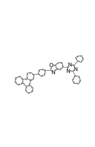 c1ccc(-c2nc(-c3ccccc3)nc(-c3ccc4oc(-c5ccc(-c6ccc7c8ccccc8c8ccccc8c7c6)cc5)nc4c3)n2)cc1